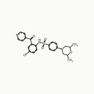 CC1CN(c2ccc(S(=O)(=O)Nc3ccc(Cl)cc3C(=O)c3ccncc3)cc2)CC(C)O1